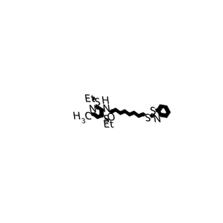 CCSc1cc(C)nc(SCC)c1NC(=O)CCCCCCCSc1nc2ccccc2s1